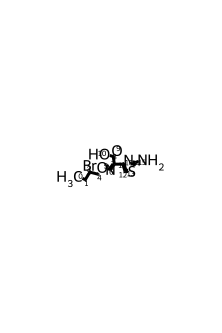 CCC(Br)CON=C(C(=O)O)c1csc(N)n1